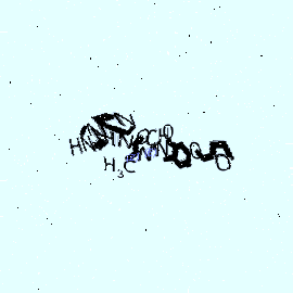 C/C=C(\N=C(/C)N1Cc2ccc(OCC3CCCO3)cc2C1=O)C(=O)Nc1cnccc1N1CCNCC1